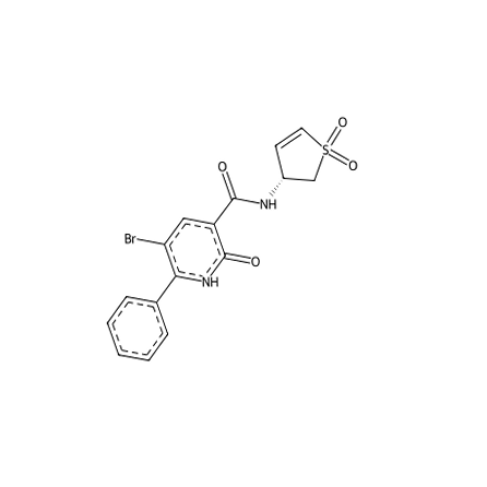 O=C(N[C@@H]1C=CS(=O)(=O)C1)c1cc(Br)c(-c2ccccc2)[nH]c1=O